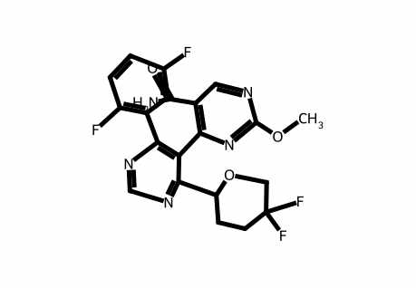 COc1ncc(C(N)=O)c(-c2c(-c3cc(F)ccc3F)ncnc2C2CCC(F)(F)CO2)n1